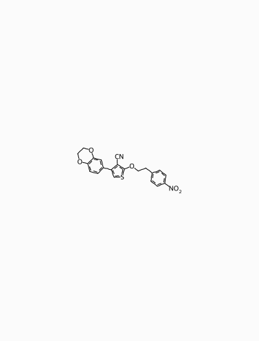 N#Cc1c(-c2ccc3c(c2)OCCO3)csc1OCCc1ccc([N+](=O)[O-])cc1